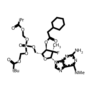 CNc1nc(N)nc2c1ncn2[C@@H]1O[C@H](COP(=O)(OCOC(=O)C(C)C)OCOC(=O)C(C)(C)C)[C@@H](OC(=O)CC2CCCCC2)[C@@]1(C)F